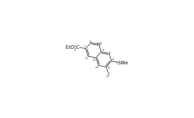 CCOC(=O)c1cnc2cc(SC)c(I)cc2c1